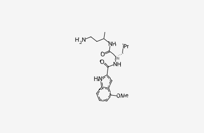 COc1cccc2[nH]c(C(=O)N[C@@H](CC(C)C)C(=O)NC(C)CCN)cc12